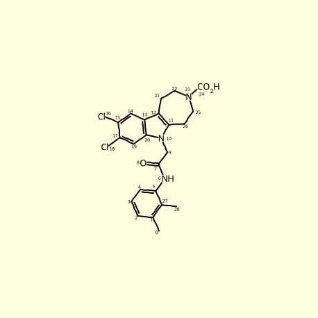 Cc1cccc(NC(=O)Cn2c3c(c4cc(Cl)c(Cl)cc42)CCN(C(=O)O)CC3)c1C